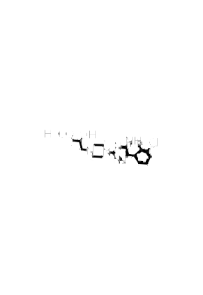 COC[C@H](O)CN1CCN(c2nnc(-c3cccc(Cl)c3Cl)c(N)n2)CC1